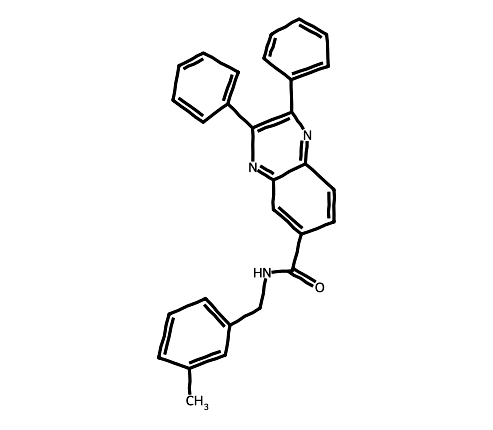 Cc1cccc(CNC(=O)c2ccc3nc(-c4ccccc4)c(-c4ccccc4)nc3c2)c1